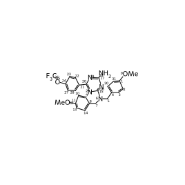 COc1ccc(CN(Cc2ccc(OC)cc2)c2nc(N)nc(-c3ccc(OC(F)(F)F)cc3)n2)cc1